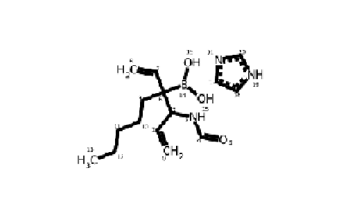 C=CC(NC=O)C(C=C)(CCCCC)B(O)O.c1c[nH]cn1